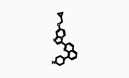 c1cc(N2CCNCC2)c2nc(-c3cnc4cc(OCC5CC5)ccn34)ccc2c1